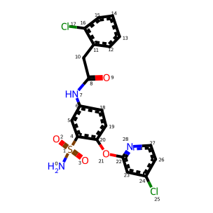 NS(=O)(=O)c1cc(NC(=O)Cc2ccccc2Cl)ccc1Oc1cc(Cl)ccn1